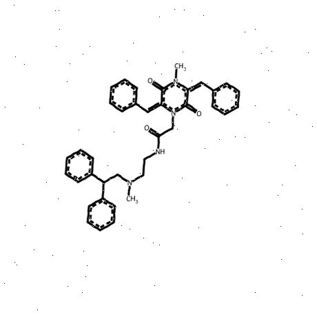 CN(CCNC(=O)Cn1c(=O)c(=Cc2ccccc2)n(C)c(=O)c1=Cc1ccccc1)CC(c1ccccc1)c1ccccc1